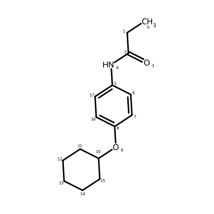 CCC(=O)Nc1ccc(OC2CCCCC2)cc1